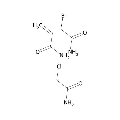 C=CC(N)=O.NC(=O)CBr.NC(=O)CCl